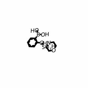 C1COCCN1.O=S(=O)(O)Oc1ccccc1B(O)O